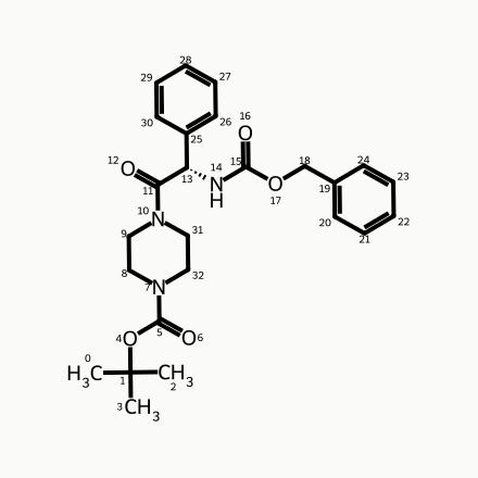 CC(C)(C)OC(=O)N1CCN(C(=O)[C@@H](NC(=O)OCc2ccccc2)c2ccccc2)CC1